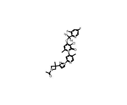 [2H]C([2H])(Oc1cc(C)n(-c2cc(-n3ccc(C4(C)CN(C(C)=O)C4)n3)ncc2C)c(=O)c1Cl)c1ncc(F)cc1F